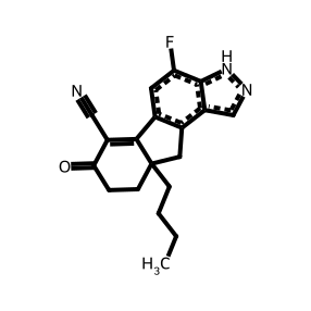 CCCCC12CCC(=O)C(C#N)=C1c1cc(F)c3[nH]ncc3c1C2